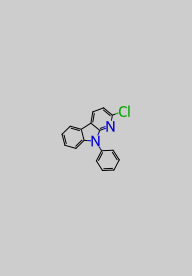 Clc1ccc2c3ccccc3n(-c3ccccc3)c2n1